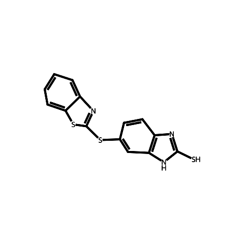 Sc1nc2ccc(Sc3nc4ccccc4s3)cc2[nH]1